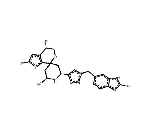 C[C@H]1CC2(C[C@@H](c3cn(Cc4ccc5nc(O)[nH]c5c4)nn3)N1)OC[C@@H](O)c1cc(Cl)sc12